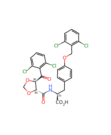 O=C(O)[C@H](Cc1ccc(OCc2c(Cl)cccc2Cl)cc1)NC(=O)[C@@H]1OCO[C@H]1C(=O)c1c(Cl)cccc1Cl